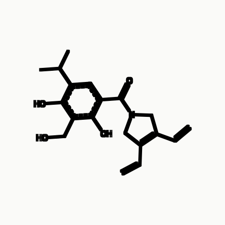 C=CC1=C(C=C)CN(C(=O)c2cc(C(C)C)c(O)c(CO)c2O)C1